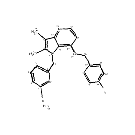 Cc1c(C)n(Cc2cccc(F)c2)c2c(OCc3ccc(F)cc3)ccnc12.Cl